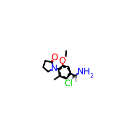 CCOc1cc([C@@H](C)N)c(Cl)c(C)c1N1CCCC1=O